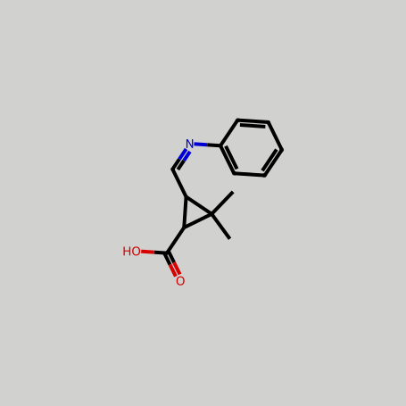 CC1(C)C(/C=N\c2ccccc2)C1C(=O)O